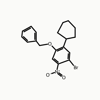 O=[N+]([O-])c1cc(OCc2ccccc2)c(C2CCCCC2)cc1Br